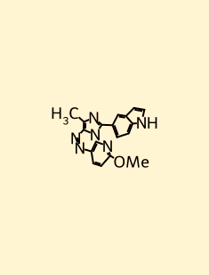 COc1ccc2nnc3c(C)nc(-c4ccc5[nH]ccc5c4)n3c2n1